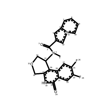 CN(C(=O)c1cc2ccccn2c1)C1COCc2[nH]c(=O)c3cc(F)c(F)cc3c21